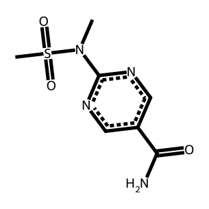 CN(c1ncc(C(N)=O)cn1)S(C)(=O)=O